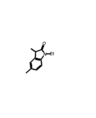 CCN1C(=O)C(C)c2cc(C)ccc21